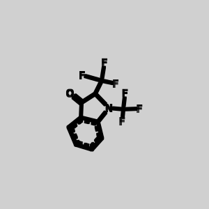 O=C1c2ccccc2N(C(F)(F)F)C1C(F)(F)F